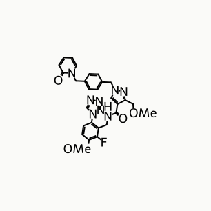 COCc1nn(Cc2ccc(Cn3ccccc3=O)cc2)cc1C(=O)NCc1c(-n2cnnn2)ccc(OC)c1F